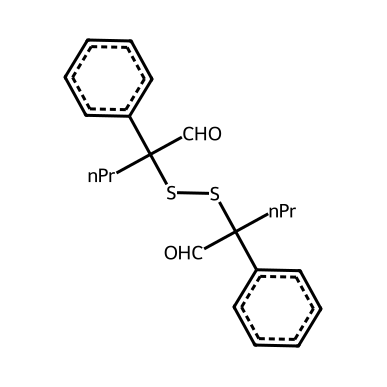 CCCC(C=O)(SSC(C=O)(CCC)c1ccccc1)c1ccccc1